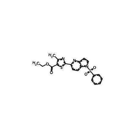 CCOC(=O)c1sc(-c2ccc3c(ccn3S(=O)(=O)c3ccccc3)n2)nc1C